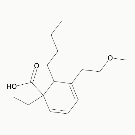 CCCCC1C(CCOC)=CC=CC1(CC)C(=O)O